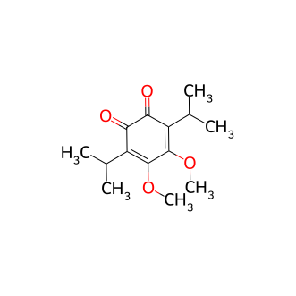 COC1=C(C(C)C)C(=O)C(=O)C(C(C)C)=C1OC